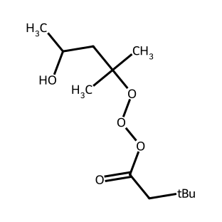 CC(O)CC(C)(C)OOOC(=O)CC(C)(C)C